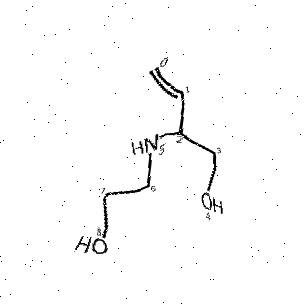 C=CC(CO)NCCO